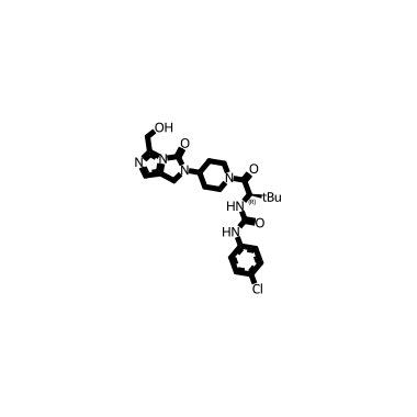 CC(C)(C)[C@@H](NC(=O)Nc1ccc(Cl)cc1)C(=O)N1CCC(N2Cc3cnc(CO)n3C2=O)CC1